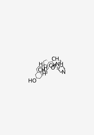 C[C@H](C(=O)Nc1ccncc1)[C@H]1CC[C@H]2[C@@H]3CCC4C[C@@H](O)CC[C@]4(C)[C@H]3CC[C@]12C